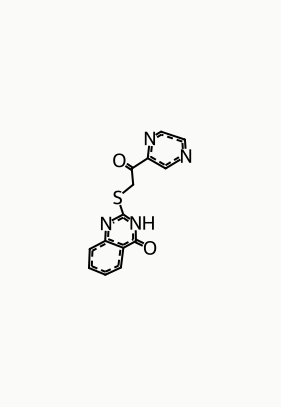 O=C(CSc1nc2ccccc2c(=O)[nH]1)c1cnccn1